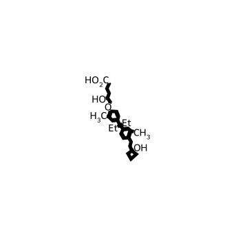 CCC(CC)(c1ccc(CCC2(O)CCC2)c(C)c1)c1ccc(OCC(O)CCCC(=O)O)c(C)c1